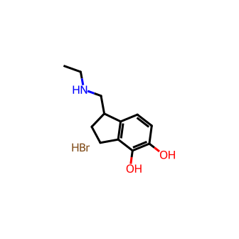 Br.CCNCC1CCc2c1ccc(O)c2O